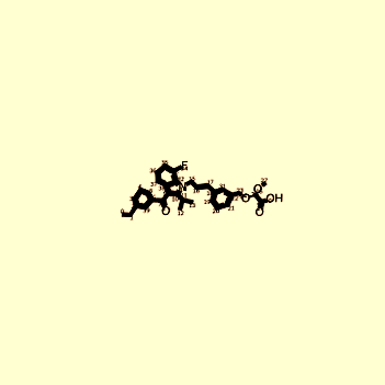 CCc1cccc(C(=O)c2c(C(C)C)n(C/C=C/c3cccc(CO[C@@H](OC)C(=O)O)c3)c3c(F)cccc23)c1